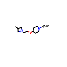 CNN1CCC(OCCN2CC(C)C2)CC1